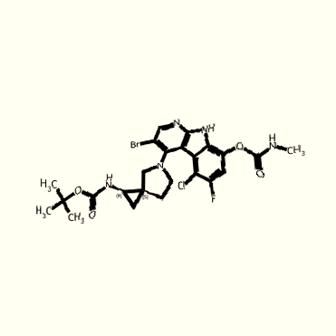 CNC(=O)Oc1cc(F)c(Cl)c2c1[nH]c1ncc(Br)c(N3CC[C@]4(C[C@H]4NC(=O)OC(C)(C)C)C3)c12